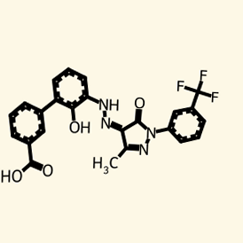 CC1=NN(c2cccc(C(F)(F)F)c2)C(=O)C1=NNc1cccc(-c2cccc(C(=O)O)c2)c1O